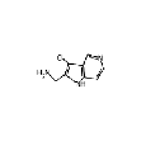 NCc1[nH]c2ccncc2c1Cl